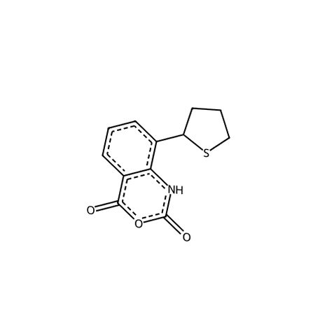 O=c1[nH]c2c(C3CCCS3)cccc2c(=O)o1